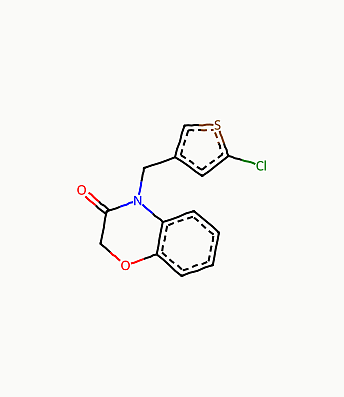 O=C1COc2ccccc2N1Cc1csc(Cl)c1